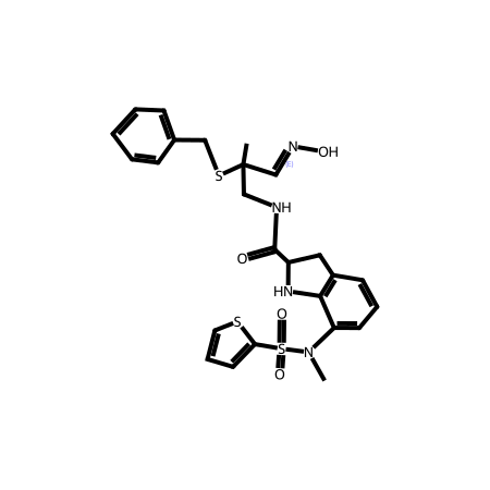 CN(c1cccc2c1NC(C(=O)NCC(C)(/C=N/O)SCc1ccccc1)C2)S(=O)(=O)c1cccs1